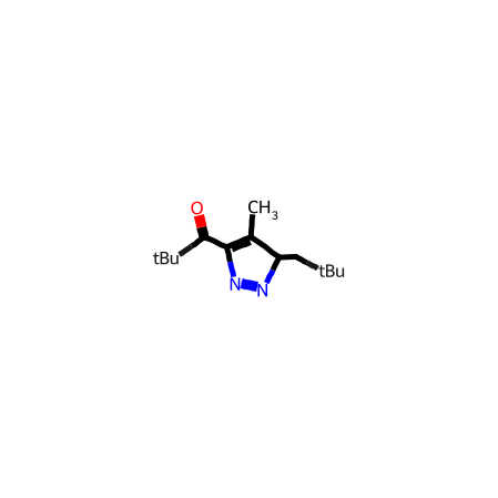 CC1=C(C(=O)C(C)(C)C)N=NC1CC(C)(C)C